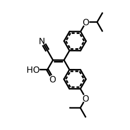 CC(C)Oc1ccc(C(=C(C#N)C(=O)O)c2ccc(OC(C)C)cc2)cc1